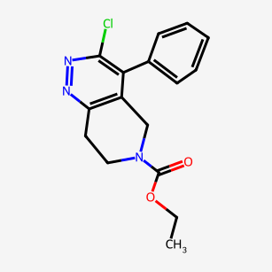 CCOC(=O)N1CCc2nnc(Cl)c(-c3ccccc3)c2C1